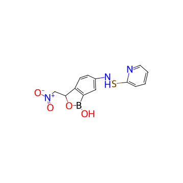 O=[N+]([O-])CC1OB(O)c2cc(NSc3ccccn3)ccc21